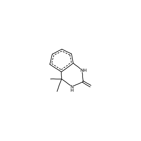 C=C1Nc2ccccc2C(C)(C)N1